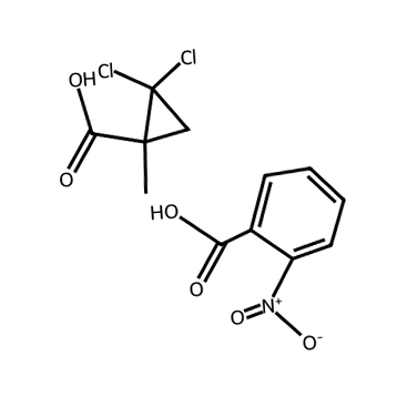 CC1(C(=O)O)CC1(Cl)Cl.O=C(O)c1ccccc1[N+](=O)[O-]